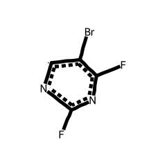 Fc1n[c]c(Br)c(F)n1